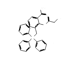 COC(=O)c1cccc(C[P+](c2ccccc2)(c2ccccc2)c2ccccc2)c1OC(=O)CC(C)(C)C.[Br-]